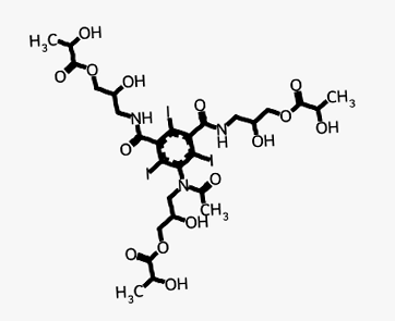 CC(=O)N(CC(O)COC(=O)C(C)O)c1c(I)c(C(=O)NCC(O)COC(=O)C(C)O)c(I)c(C(=O)NCC(O)COC(=O)C(C)O)c1I